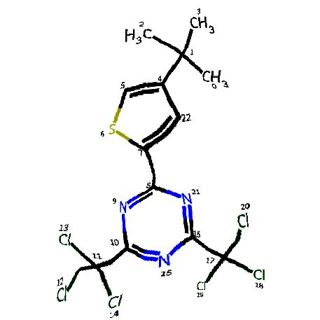 CC(C)(C)c1csc(-c2nc(C(Cl)(Cl)Cl)nc(C(Cl)(Cl)Cl)n2)c1